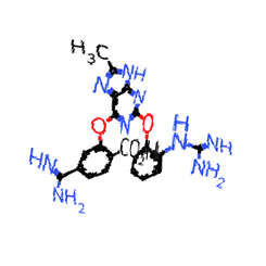 Cc1nc2c(Oc3cc(C(=N)N)ccc3C(=O)O)nc(Oc3ccccc3NC(=N)N)nc2[nH]1